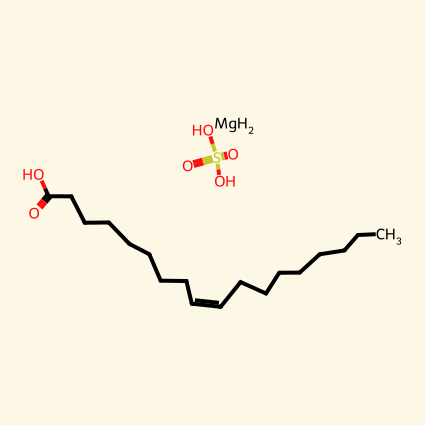 CCCCCCCC/C=C\CCCCCCCC(=O)O.O=S(=O)(O)O.[MgH2]